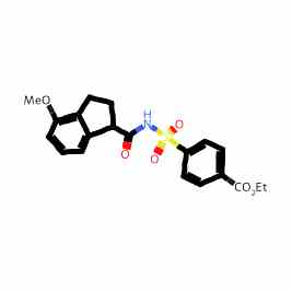 CCOC(=O)c1ccc(S(=O)(=O)NC(=O)C2CCc3c(OC)cccc32)cc1